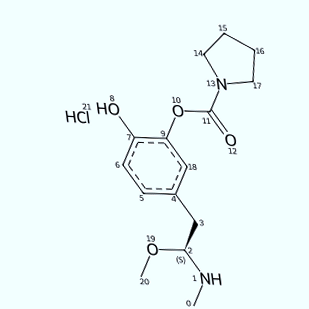 CN[C@H](Cc1ccc(O)c(OC(=O)N2CCCC2)c1)OC.Cl